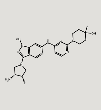 CCC(C)n1nc(N2C[C@@H](F)[C@@H](N)C2)c2cnc(Nc3ccnc(N4CCC(C)(O)CC4)n3)cc21